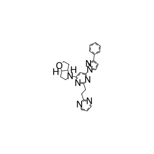 c1ccc(-c2ccn(-c3cc(N4CC[C@H]5OCC[C@H]54)nc(CCc4ncccn4)n3)n2)cc1